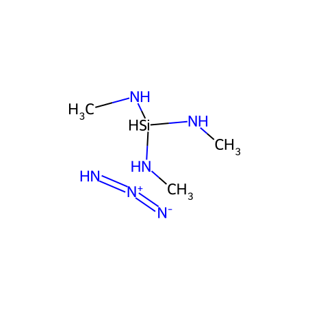 CN[SiH](NC)NC.[N-]=[N+]=N